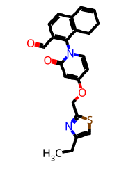 CCc1csc(COc2ccn(-c3c(C=O)ccc4c3CCC=C4)c(=O)c2)n1